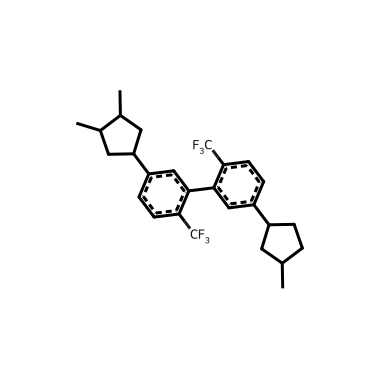 CC1CCC(c2ccc(C(F)(F)F)c(-c3cc(C4CC(C)C(C)C4)ccc3C(F)(F)F)c2)C1